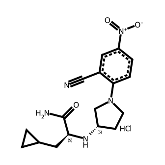 Cl.N#Cc1cc([N+](=O)[O-])ccc1N1CC[C@H](N[C@@H](CC2CC2)C(N)=O)C1